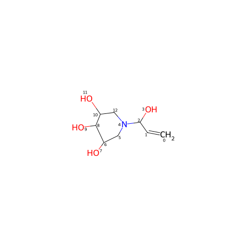 C=CC(O)N1CC(O)C(O)C(O)C1